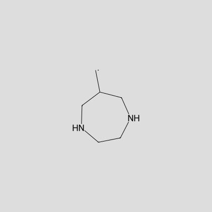 [CH2]C1CNCCNC1